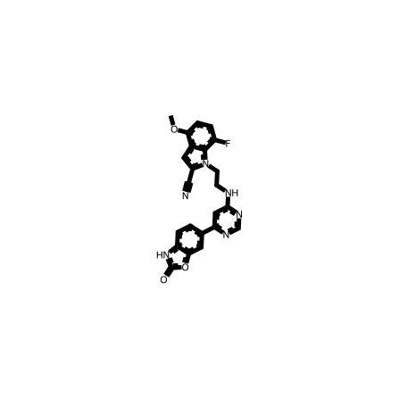 COc1ccc(F)c2c1cc(C#N)n2CCNc1cc(-c2ccc3[nH]c(=O)oc3c2)ncn1